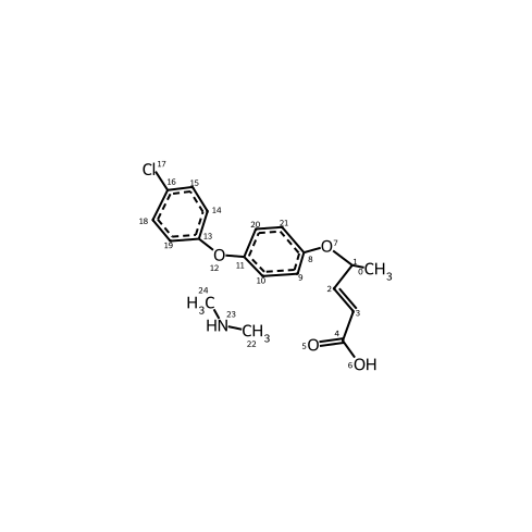 CC(C=CC(=O)O)Oc1ccc(Oc2ccc(Cl)cc2)cc1.CNC